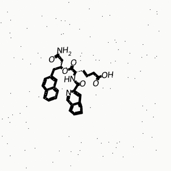 NC(=O)C[C@H](Cc1ccc2ccccc2c1)OC(=O)[C@H](CCCC(=O)O)NC(=O)c1cc2ccccc2cn1